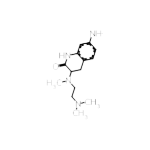 CN(C)CCN(C)C1Cc2ccc([NH])cc2NC1=O